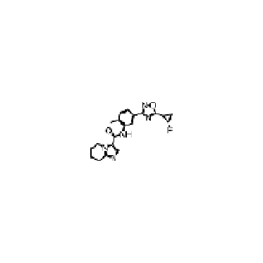 Cc1ccc(-c2noc(C3C[C@@H]3F)n2)cc1NC(=O)c1cnc2n1CCCC2